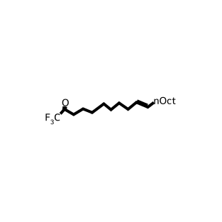 CCCCCCCCC=CCCCCCCCC(=O)C(F)(F)F